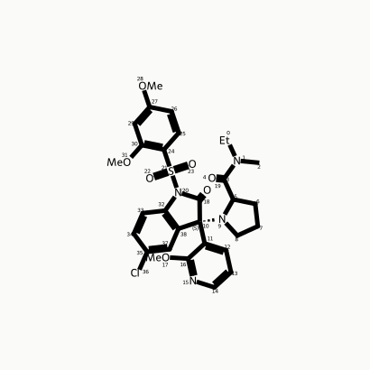 CCN(C)C(=O)C1CCCN1[C@@]1(c2cccnc2OC)C(=O)N(S(=O)(=O)c2ccc(OC)cc2OC)c2ccc(Cl)cc21